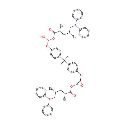 CCC(CC(CC)C(=O)OC(O)Oc1ccc(C(C)(C)c2ccc(OC3OC3OC(=O)C(CC)CC(CC)CP(c3ccccc3)c3ccccc3)cc2)cc1)CP(c1ccccc1)c1ccccc1